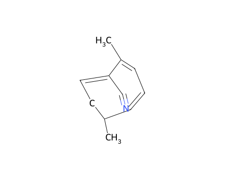 CC1=C/C=C\C(C)C\C=C\1C#N